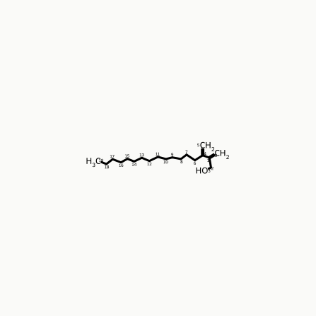 C=C(CO)C(=C)CCCCCCCCCCCCCC